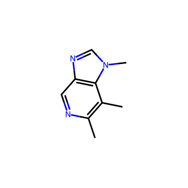 Cc1ncc2ncn(C)c2c1C